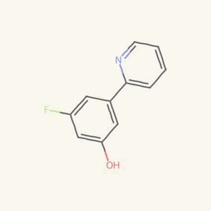 Oc1cc(F)cc(-c2ccccn2)c1